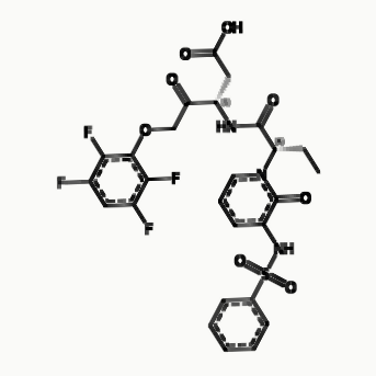 CC[C@@H](C(=O)N[C@@H](CC(=O)O)C(=O)COc1c(F)c(F)cc(F)c1F)n1cccc(NS(=O)(=O)c2ccccc2)c1=O